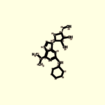 CN(C)c1nc(NC2CCCCC2)nc2c1ncn2[C@@H]1O[C@H](CO)C(O)C1O